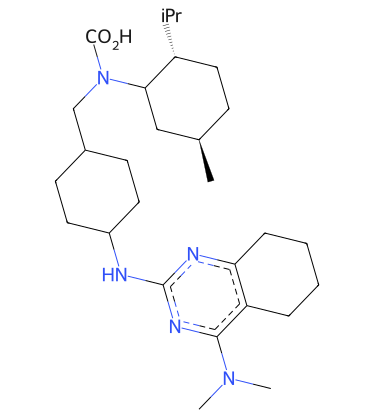 CC(C)[C@@H]1CC[C@@H](C)CC1N(CC1CCC(Nc2nc3c(c(N(C)C)n2)CCCC3)CC1)C(=O)O